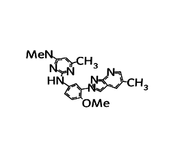 CNc1cc(C)nc(Nc2ccc(OC)c(-n3cc4cc(C)cnc4n3)c2)n1